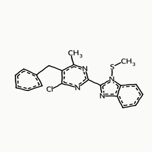 CSn1c(-c2nc(C)c(Cc3ccccc3)c(Cl)n2)nc2ccccc21